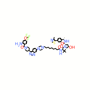 Cc1ncsc1-c1ccc([C@H](C)NC(=O)[C@@H]2C[C@@H](O)CN2C(=O)[C@@H](NC(=O)CCCCCCCCN2CCN(c3ccc4c(C5CCN(C(=O)c6ccc(OC(F)(F)F)cc6N)CC5)ncnc4c3)CC2)C(C)(C)C)cc1